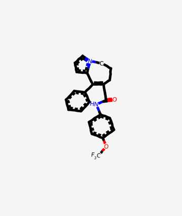 O=C(Nc1ccc(OC(F)(F)F)cc1)C1=C(c2ccccc2)c2cccn2CCC1